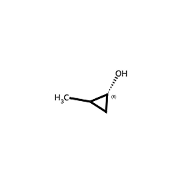 CC1C[C@H]1O